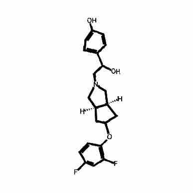 Oc1ccc(C(O)CN2C[C@H]3CC(Oc4ccc(F)cc4F)C[C@H]3C2)cc1